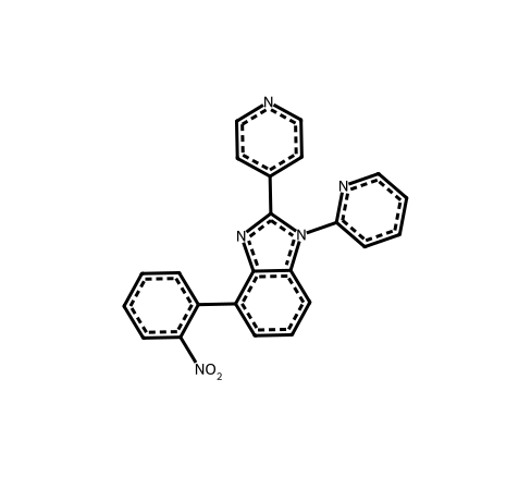 O=[N+]([O-])c1ccccc1-c1cccc2c1nc(-c1ccncc1)n2-c1ccccn1